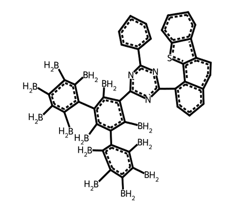 Bc1c(B)c(B)c(-c2c(B)c(-c3nc(-c4ccccc4)nc(-c4cccc5ccc6c7ccccc7sc6c45)n3)c(B)c(-c3c(B)c(B)c(B)c(B)c3B)c2B)c(B)c1B